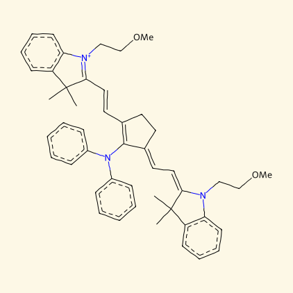 COCCN1/C(=C/C=C2\CCC(/C=C/C3=[N+](CCOC)c4ccccc4C3(C)C)=C2N(c2ccccc2)c2ccccc2)C(C)(C)c2ccccc21